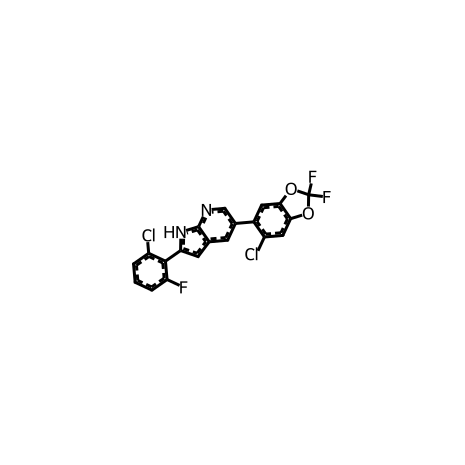 Fc1cccc(Cl)c1-c1cc2cc(-c3cc4c(cc3Cl)OC(F)(F)O4)cnc2[nH]1